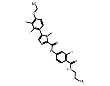 Cn1c(-c2ccc(OCC#N)c(F)c2F)cnc1C(=O)Nc1ccc(C(=O)NCCN)c(Cl)c1